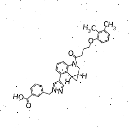 Cc1cccc(OCCCC(=O)N2C[C@@H]3C[C@@H]3c3c(-c4cnn(Cc5cccc(C(=O)O)c5)c4)cccc32)c1C